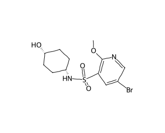 COc1ncc(Br)cc1S(=O)(=O)N[C@H]1CC[C@@H](O)CC1